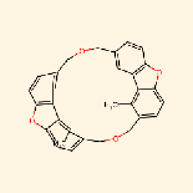 Cc1c2ccc3oc4ccc(cc4c13)COCc1ccc3oc4ccc(c(C)c4c3c1)COC2